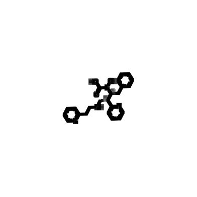 O=C(O)N(O)[C@@H](Cc1ccccc1)[C@@H](CNCCc1ccccn1)c1ccccn1